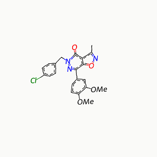 COc1ccc(-c2nn(Cc3ccc(Cl)cc3)c(=O)c3c(C)noc23)cc1OC